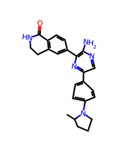 CC1CCCN1c1ccc(-c2cnc(N)c(-c3ccc4c(c3)CCNC4=O)n2)cc1